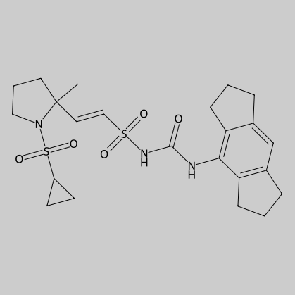 CC1(/C=C/S(=O)(=O)NC(=O)Nc2c3c(cc4c2CCC4)CCC3)CCCN1S(=O)(=O)C1CC1